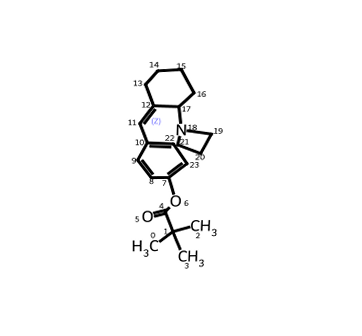 CC(C)(C)C(=O)Oc1ccc(/C=C2/CCCCC2N2CCC2)cc1